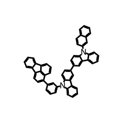 c1cc(-c2ccc3c4c(cccc24)-c2ccccc2-3)cc(-n2c3ccccc3c3cc(-c4ccc5c(c4)c4ccccc4n5-c4ccc5ccccc5c4)ccc32)c1